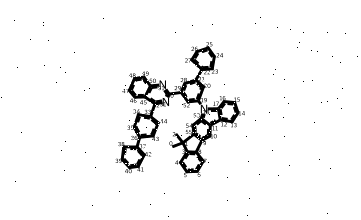 CC1(C)c2ccccc2-c2cc3c4ccccc4n(-c4cc(-c5ccccc5)cc(-c5nc(-c6ccc(-c7ccccc7)cc6)c6ccccc6n5)c4)c3cc21